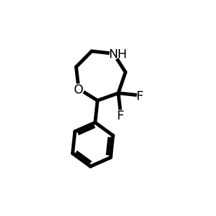 FC1(F)CNCCOC1c1ccccc1